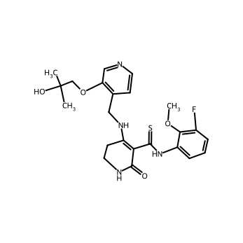 COc1c(F)cccc1NC(=S)C1=C(NCc2ccncc2OCC(C)(C)O)CCNC1=O